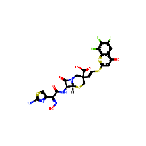 Nc1nc(C(=NO)C(=O)NC2C(=O)N3CC(C=CSc4cc(=O)c5cc(F)c(F)c(F)c5s4)(C(=O)O)CS[C@H]23)cs1